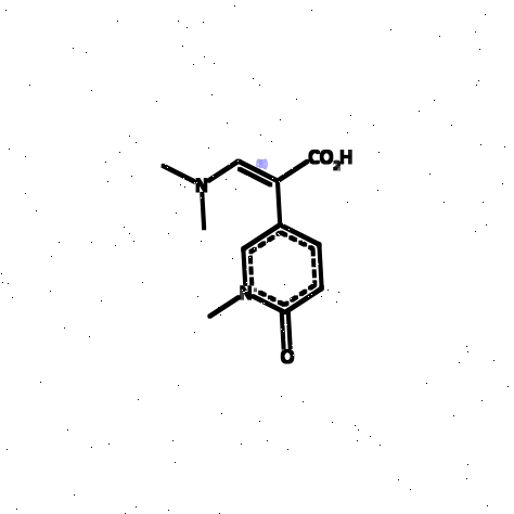 CN(C)/C=C(/C(=O)O)c1ccc(=O)n(C)c1